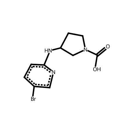 O=C(O)N1CCC(Nc2ccc(Br)cn2)C1